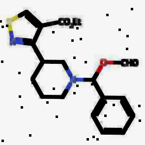 CCOC(=O)c1csnc1C1CCCN(C(OC=O)c2ccccc2)C1